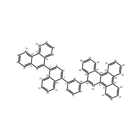 c1cc(-c2ccc(-c3cc4cccnc4c4ncccc34)c3ccccc23)cc(-c2nc3c4ccccc4c4ccccc4c3c3ccccc23)c1